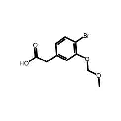 COCOc1cc(CC(=O)O)ccc1Br